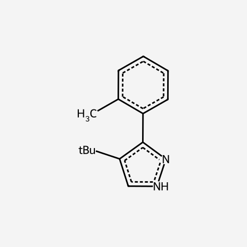 Cc1ccccc1-c1n[nH]cc1C(C)(C)C